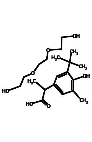 Cc1cc(C(C)C(=O)O)cc(C(C)(C)C)c1O.OCCOCCOCCO